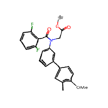 COc1ccc(-c2cccc(N(CC(=O)OC(C)(C)C)C(=O)c3c(F)cccc3F)c2)cc1C